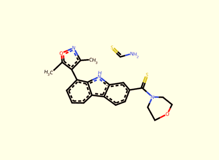 Cc1noc(C)c1-c1cccc2c1[nH]c1cc(C(=S)N3CCOCC3)ccc12.NC=S